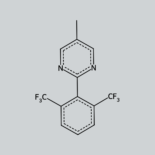 Cc1cnc(-c2c(C(F)(F)F)cccc2C(F)(F)F)nc1